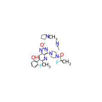 C=C(F)C(=O)N1CCN(c2nc(OC[C@@H]3CCCN3C)nc3cc(-c4c(O)cccc4F)c(C)nc23)C[C@@H]1CC#N